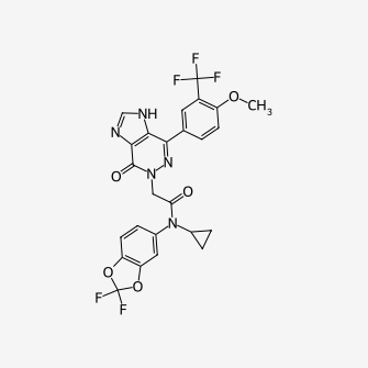 COc1ccc(-c2nn(CC(=O)N(c3ccc4c(c3)OC(F)(F)O4)C3CC3)c(=O)c3nc[nH]c23)cc1C(F)(F)F